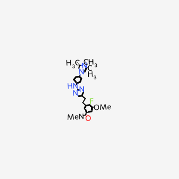 CNC(=O)c1cc(CCc2cnc(Nc3ccc(N4C=C(C)N(C)[C@@H](C)C4)cc3)nc2)c(F)c(OC)c1